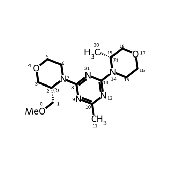 COC[C@@H]1COCCN1c1nc(C)nc(N2CCOC[C@H]2C)n1